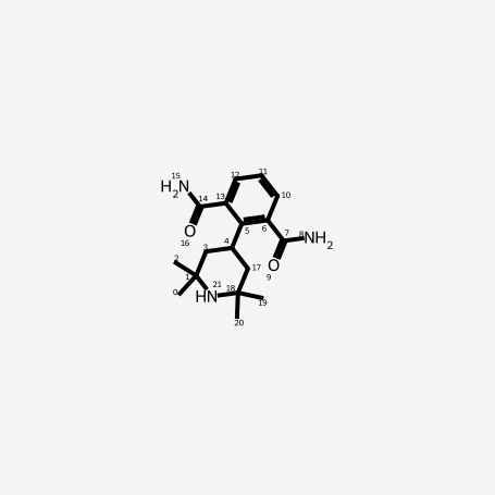 CC1(C)CC(c2c(C(N)=O)cccc2C(N)=O)CC(C)(C)N1